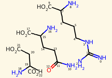 N=C(N)NCCCC(N)C(=O)O.NC(=O)CCC(N)C(=O)O.NC(CC(=O)O)C(=O)O